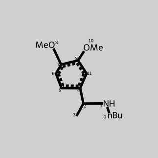 CCCCNC(C)c1ccc(OC)c(OC)c1